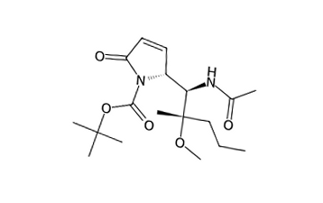 CCC[C@](C)(OC)[C@H](NC(C)=O)[C@H]1C=CC(=O)N1C(=O)OC(C)(C)C